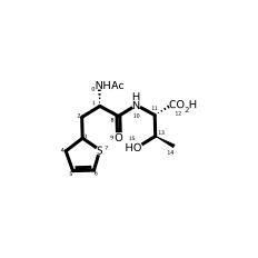 CC(=O)N[C@@H](CC1CC=CS1)C(=O)N[C@H](C(=O)O)[C@@H](C)O